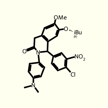 CC[C@@H](C)Oc1cc2c(cc1OC)CC(=O)N(c1ccc(N(C)C)cc1)C2c1ccc(Cl)c([N+](=O)[O-])c1